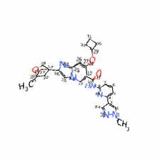 Cn1cc(-c2cccc(NC(=O)c3cn4cc(C56COC(C)(C5)C6)nc4cc3OC3CCC3)n2)cn1